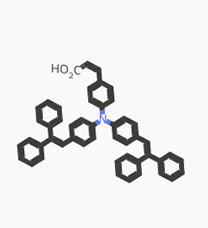 O=C(O)/C=C\c1ccc(N(c2ccc(C=C(c3ccccc3)c3ccccc3)cc2)c2ccc(C=C(c3ccccc3)c3ccccc3)cc2)cc1